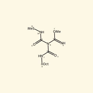 CCCCCCCCNC(=O)N(C(=N)OC)C(=O)NSC